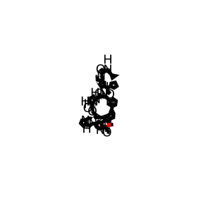 CCn1c(-c2cc(N3CCN4CCC[C@@H]4C3)cnc2[C@H](C)OC)c2c3cc(ccc31)C1=CCCN(C1)C[C@H](NC(=O)C(C1CCCC1)N1CC[C@]3(CCN(C(=O)[C@@H]4NC4C4CC4)C3)C1)C(=O)N1CCC[C@H](N1)C(=O)OCC(C)(C)C2